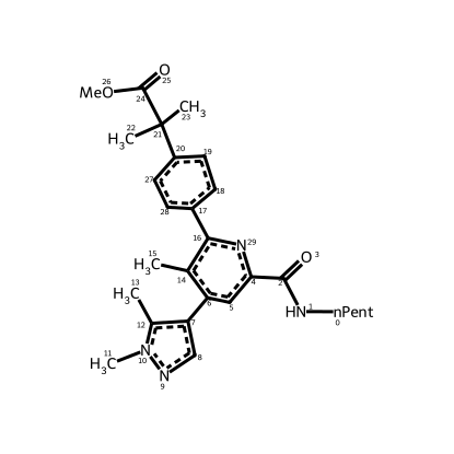 CCCCCNC(=O)c1cc(-c2cnn(C)c2C)c(C)c(-c2ccc(C(C)(C)C(=O)OC)cc2)n1